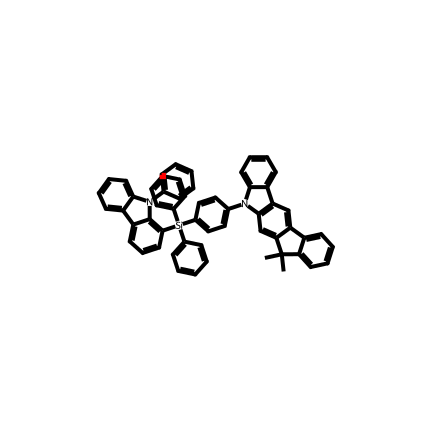 CC1(C)c2ccccc2-c2cc3c4ccccc4n(-c4ccc([Si](c5ccccc5)(c5ccccc5)c5cccc6c7ccccc7n(-c7ccccc7)c56)cc4)c3cc21